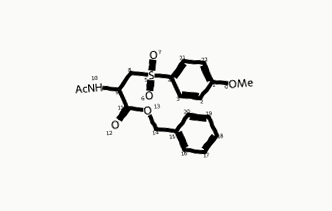 COc1ccc(S(=O)(=O)CC(NC(C)=O)C(=O)OCc2ccccc2)cc1